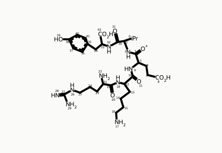 CC(C)C(NC(=O)C(CCC(=O)O)NC(=O)C(CCCCN)NC(=O)C(N)CCCNC(=N)N)C(=O)NC(Cc1ccc(O)cc1)C(=O)O